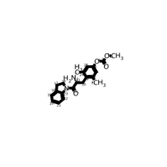 COC(=O)Oc1cc(C)c(C[C@@H](N)C(=O)N2CCc3ccccc32)c(C)c1